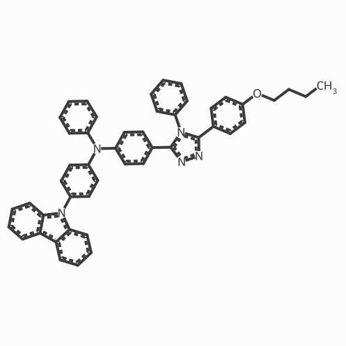 CCCCOc1ccc(-c2nnc(-c3ccc(N(c4ccccc4)c4ccc(-n5c6ccccc6c6ccccc65)cc4)cc3)n2-c2ccccc2)cc1